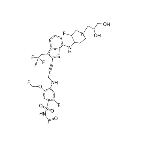 CC(=O)NS(=O)(=O)c1cc(OCF)c(NCC#Cc2sc3c(NC4CCN(CC(O)CO)CC4F)cccc3c2CC(F)(F)F)cc1F